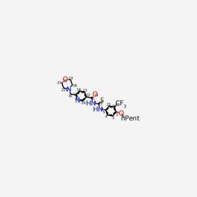 CCCCCOc1ccc(NC(=S)NC(=O)c2ccc(CN3CCOCC3)nc2)cc1C(F)(F)F